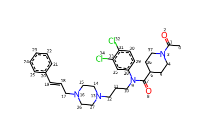 CC(=O)N1CCC(C(=O)N(CCCN2CCN(CC=Cc3ccccc3)CC2)c2ccc(Cl)c(Cl)c2)CC1